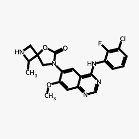 COc1cc2ncnc(Nc3cccc(Cl)c3F)c2cc1N1CC2(CNC2C)OC1=O